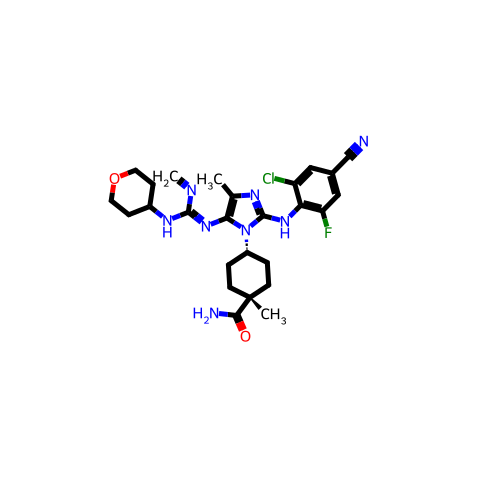 C=N/C(=N\c1c(C)nc(Nc2c(F)cc(C#N)cc2Cl)n1[C@H]1CC[C@@](C)(C(N)=O)CC1)NC1CCOCC1